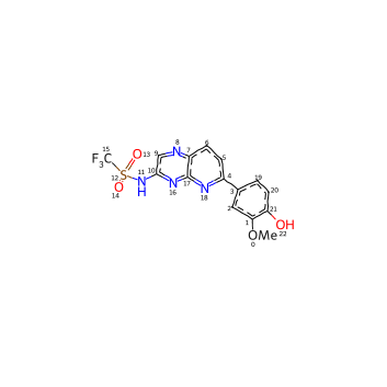 COc1cc(-c2ccc3ncc(NS(=O)(=O)C(F)(F)F)nc3n2)ccc1O